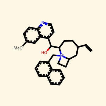 C=CC1CCC(C(O)c2ccnc3ccc(OC)cc23)[N+]2(Cc3cccc4ccccc34)CCC2C1